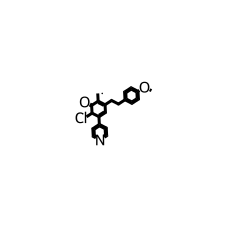 [CH2]C1=C(CCc2ccc(OC)cc2)C=C(c2ccncc2)C(Cl)C1=O